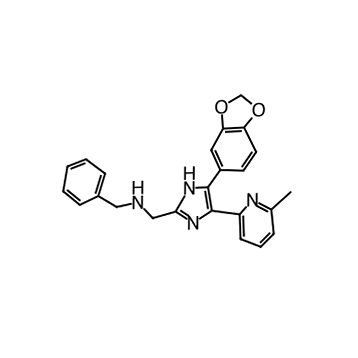 Cc1cccc(-c2nc(CNCc3ccccc3)[nH]c2-c2ccc3c(c2)OCO3)n1